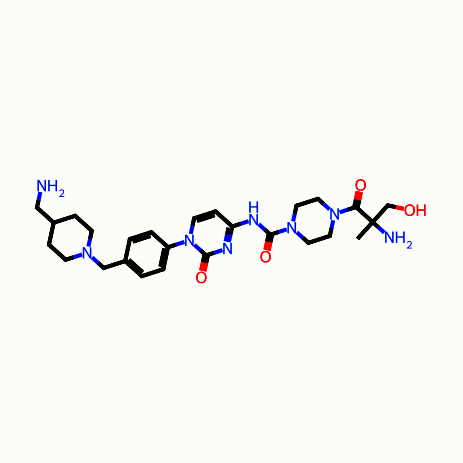 CC(N)(CO)C(=O)N1CCN(C(=O)Nc2ccn(-c3ccc(CN4CCC(CN)CC4)cc3)c(=O)n2)CC1